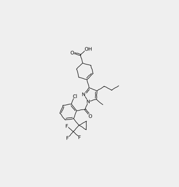 CCCc1c(C2=CCC(C(=O)O)CC2)nn(C(=O)c2c(Cl)cccc2C2(C(F)(F)F)CC2)c1C